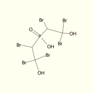 O=P(O)(C(Br)C(O)(Br)Br)C(Br)C(O)(Br)Br